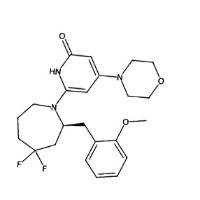 COc1ccccc1C[C@H]1CC(F)(F)CCCN1c1cc(N2CCOCC2)cc(=O)[nH]1